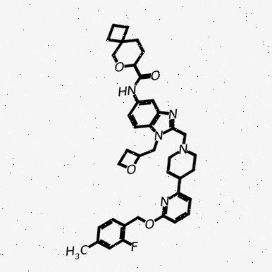 Cc1ccc(COc2cccc(C3CCN(Cc4nc5cc(NC(=O)C6CCC7(CCC7)CO6)ccc5n4CC4CCO4)CC3)n2)c(F)c1